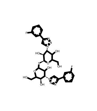 OCC1O[C@@H](SC2OC(CO)[C@H](O)[C@@H](n3cc(-c4cccc(F)c4)nn3)C2O)[C@@H](O)[C@H](n2cc(-c3cccc(F)c3)nn2)C1O